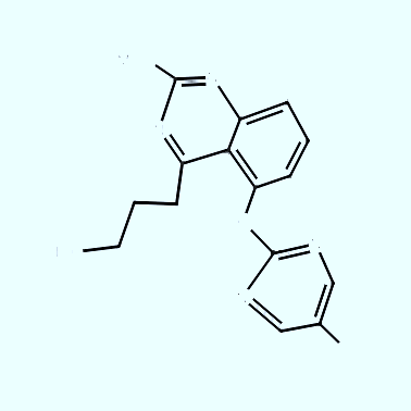 COc1nc(CCCC(F)(F)F)c2c(Oc3ncc(Cl)cn3)cccc2n1